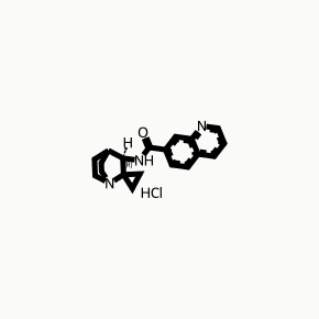 Cl.O=C(N[C@@H]1C2CCN(CC2)C12CC2)c1ccc2cccnc2c1